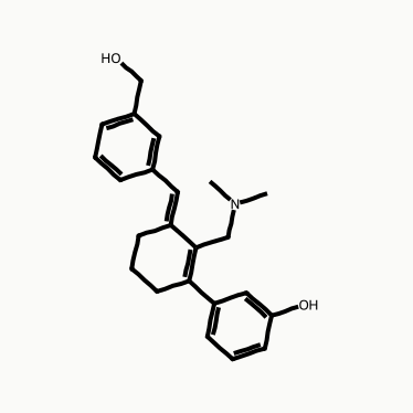 CN(C)CC1=C(c2cccc(O)c2)CCCC1=Cc1cccc(CO)c1